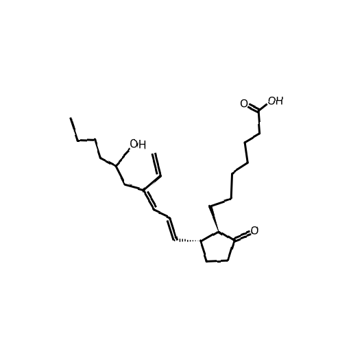 C=C/C(=C\C=C\[C@H]1CCC(=O)[C@@H]1CCCCCCC(=O)O)CC(O)CCCC